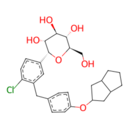 OC[C@H]1O[C@H](c2ccc(Cl)c(Cc3ccc(OC4CC5CCCC5C4)cc3)c2)[C@H](O)[C@@H](O)[C@@H]1O